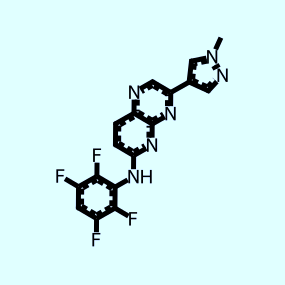 Cn1cc(-c2cnc3ccc(Nc4c(F)c(F)cc(F)c4F)nc3n2)cn1